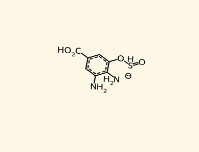 Nc1cc(C(=O)O)cc(O[SH](=O)=O)c1N